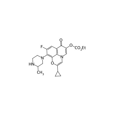 CCOC(=O)Oc1cn2c3c(c(N4CCNC(C)C4)c(F)cc3c1=O)OC(C1CC1)=C2